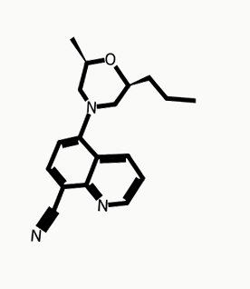 CCC[C@H]1CN(c2ccc(C#N)c3ncccc23)C[C@@H](C)O1